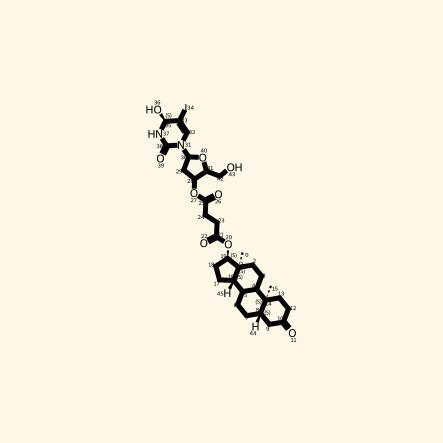 C[C@]12CCC3C(CC[C@H]4CC(=O)CC[C@]34C)[C@@H]1CC[C@@H]2OC(=O)CCC(=O)OC1CC(N2C=C(I)[C@H](O)NC2=O)OC1CO